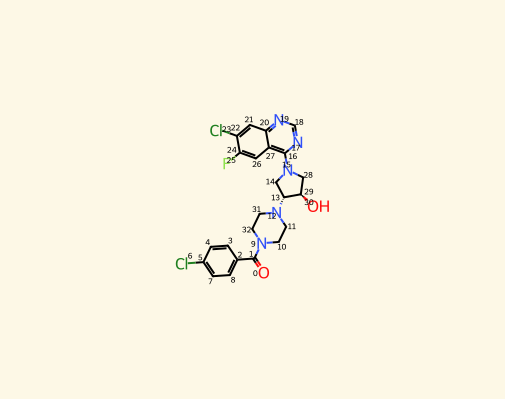 O=C(c1ccc(Cl)cc1)N1CCN([C@@H]2CN(c3ncnc4cc(Cl)c(F)cc34)C[C@H]2O)CC1